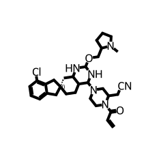 C=CC(=O)N1CCN(C2NC(OCC3CCCN3C)NC3C[C@]4(CCC32)Cc2cccc(Cl)c2C4)CC1CC#N